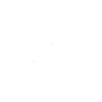 CC1CC=C([C@@H](C)Nc2c(Nc3cccc4c3C(=O)NC4)c(=O)c2=O)O1